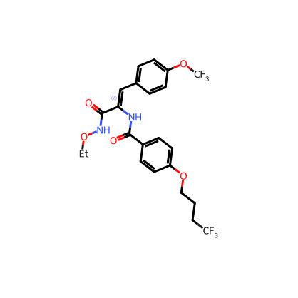 CCONC(=O)/C(=C/c1ccc(OC(F)(F)F)cc1)NC(=O)c1ccc(OCCCC(F)(F)F)cc1